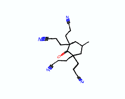 CC1CC(CCC#N)(CCC#N)C(=O)C(CCC#N)(CCC#N)C1